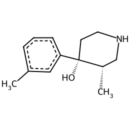 Cc1cccc([C@@]2(O)CCNC[C@@H]2C)c1